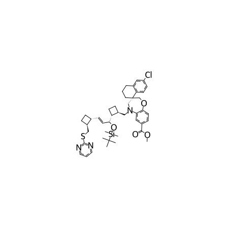 COC(=O)c1ccc2c(c1)N(C[C@@H]1CC[C@H]1C(/C=C/[C@H]1CC[C@@H]1CSc1ncccn1)O[Si](C)(C)C(C)(C)C)C[C@@]1(CCCc3cc(Cl)ccc31)CO2